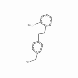 N#CCc1ccc(CCc2ccccc2C(=O)O)cc1